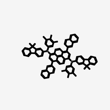 Cc1cc(N(c2ccc3c(c2)C(C)(C)c2ccccc2-3)c2cc(-c3ccc4ccccc4c3)c3ccc4c(N(c5cc(C)c(C)c(C)c5)c5ccc6c(c5)C(C)(C)c5ccccc5-6)cc(-c5ccc6ccccc6c5)c5ccc2c3c54)cc(C)c1C